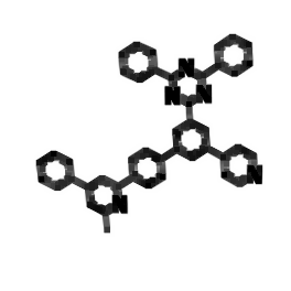 Cc1cc(-c2ccccc2)cc(-c2ccc(-c3cc(-c4ccncc4)cc(-c4nc(-c5ccccc5)nc(-c5ccccc5)n4)c3)cc2)n1